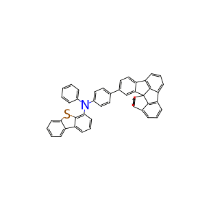 c1ccc(N(c2ccc(-c3ccc4c(c3)C35c6ccccc6-c6cccc(c63)-c3cccc-4c35)cc2)c2cccc3c2sc2ccccc23)cc1